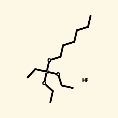 CCCCCCO[Si](CC)(OCC)OCC.F